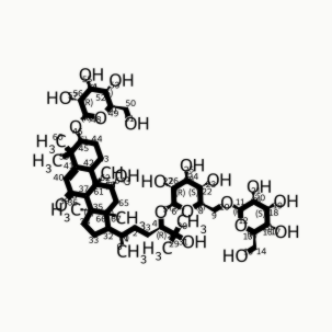 C[C@H](CC[C@@H](O[C@@H]1O[C@H](CO[C@@H]2O[C@H](CO)[C@@H](O)[C@H](O)[C@H]2O)[C@@H](O)[C@H](O)[C@H]1O)C(C)(C)O)C1CC[C@@]2(C)C3C(=O)C=C4C(CC[C@H](O[C@@H]5O[C@H](CO)[C@@H](O)[C@H](O)[C@H]5O)C4(C)C)[C@]3(C)[C@H](O)C[C@]12C